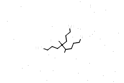 CC(CCCN)C([SiH3])(CCCN)CCCN